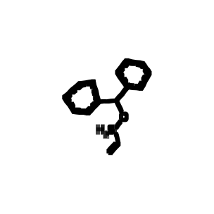 C=C[SiH2]OC(c1ccccc1)c1ccccc1